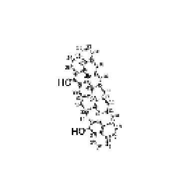 Oc1c2cccc3ccc4cc5cc6cc7cc8cc9cccc%10ccc%11c(O)c%12cc%13cc%14cc1c(c4c32)c5c%14c6c%13c7c%12c8c%11c%109